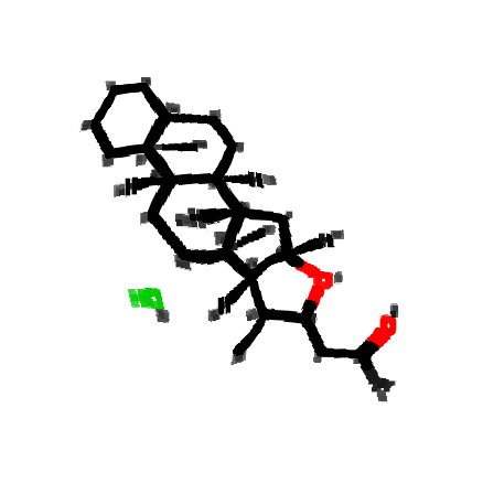 CC(C)C(=O)CC1O[C@H]2C[C@H]3[C@@H]4CCC5CCCC[C@]5(C)[C@H]4CC[C@]3(C)[C@H]2[C@@H]1C.Cl